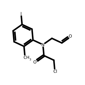 Cc1ccc(I)cc1N(CC=O)C(=O)CCl